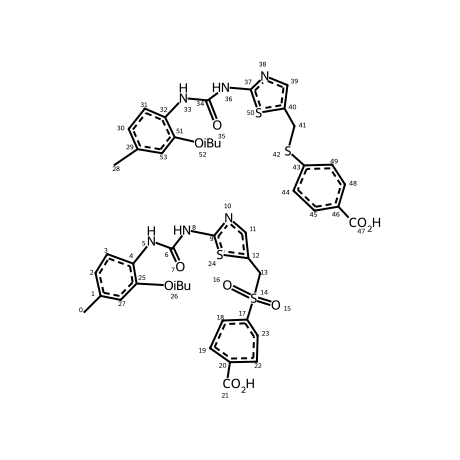 Cc1ccc(NC(=O)Nc2ncc(CS(=O)(=O)c3ccc(C(=O)O)cc3)s2)c(OCC(C)C)c1.Cc1ccc(NC(=O)Nc2ncc(CSc3ccc(C(=O)O)cc3)s2)c(OCC(C)C)c1